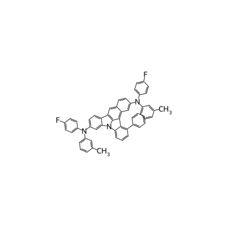 Cc1cccc(N(c2ccc(F)cc2)c2ccc3cc4c5ccc(N(c6ccc(F)cc6)c6cccc(C)c6)cc5n5c6cccc(-c7ccccc7)c6c(c3c2)c45)c1